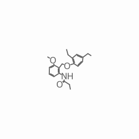 CCC(=O)Nc1cccc(OC)c1COc1ccc(CC)cc1CC